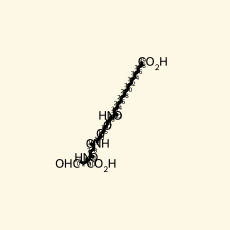 O=[C]CC[C@H](NC(=O)CCC(=O)NCCOCCOCCNC(=O)CCCCCCCCCCCCCCCCC(=O)O)C(=O)O